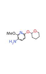 COc1nc(OC2CCCCO2)ccc1N